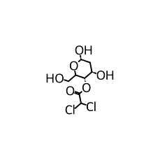 O=C(O[C@@H]1C(CO)O[C@@H](O)C[C@H]1O)C(Cl)Cl